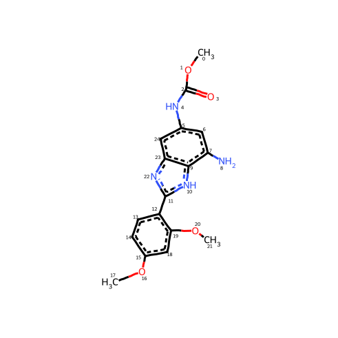 COC(=O)Nc1cc(N)c2[nH]c(-c3ccc(OC)cc3OC)nc2c1